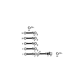 Cl.O=[N+]([O-])[O-].O=[N+]([O-])[O-].O=[N+]([O-])[O-].O=[N+]([O-])[O-].O=[N+]([O-])[O-].O=[N+]([O-])[O-].[Cr+3].[Cr+3]